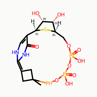 CC12CC(=C3NC=C(C(=O)N3)[C@@H]3S[C@H](COP(=O)(O)OP(=O)(O)OP1)[C@@H](O)[C@H]3O)C2